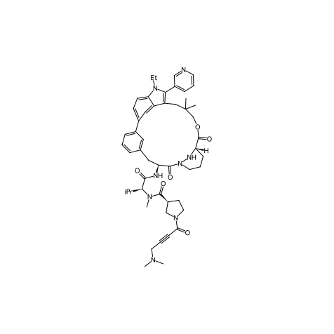 CCn1c(-c2cccnc2)c2c3cc(ccc31)-c1cccc(c1)C[C@H](NC(=O)[C@H](C(C)C)N(C)C(=O)[C@H]1CCN(C(=O)C#CCN(C)C)C1)C(=O)N1CCC[C@H](N1)C(=O)OCC(C)(C)C2